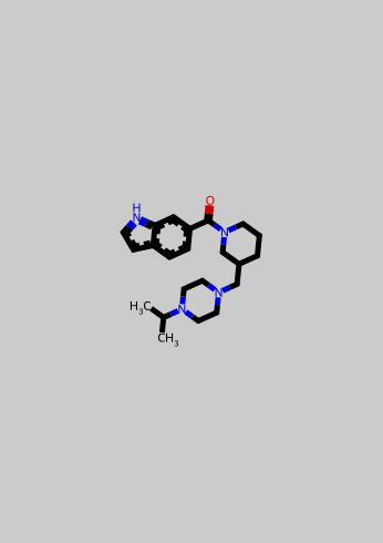 CC(C)N1CCN(CC2CCCN(C(=O)c3ccc4cc[nH]c4c3)C2)CC1